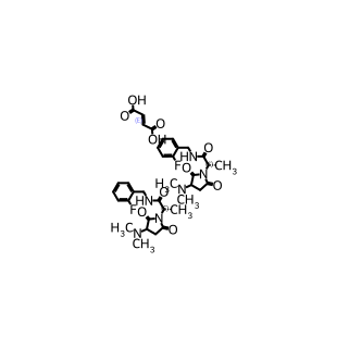 C[C@@H](C(=O)NCc1ccccc1F)N1C(=O)CC(N(C)C)C1=O.C[C@@H](C(=O)NCc1ccccc1F)N1C(=O)CC(N(C)C)C1=O.O=C(O)/C=C/C(=O)O